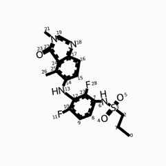 CCCS(=O)(=O)Nc1ccc(F)c(Nc2ccc3ncn(C)c(=O)c3c2C)c1F